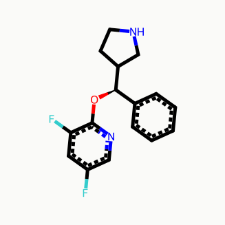 Fc1cnc(O[C@H](c2ccccc2)C2CCNC2)c(F)c1